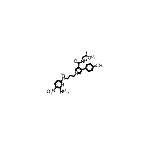 C[C@@H](O)CNC(=O)c1cn(CCCNc2ccc([N+](=O)[O-])c(N)n2)cc1-c1ccc(C#N)cc1